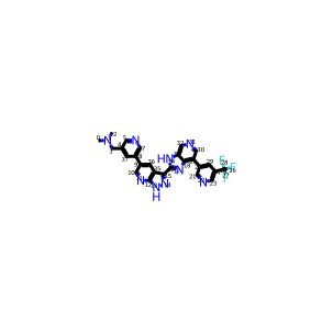 CN(C)Cc1cncc(-c2cnc3[nH]nc(-c4nc5c(-c6cncc(C(F)(F)F)c6)cncc5[nH]4)c3c2)c1